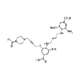 COc1cc(C(=O)O)cc([N+](=O)[O-])c1NCC=CCNc1c(OCC#CCN2CCN(C(=O)C(C)C)CC2)cc(C(N)=O)cc1[N+](=O)[O-]